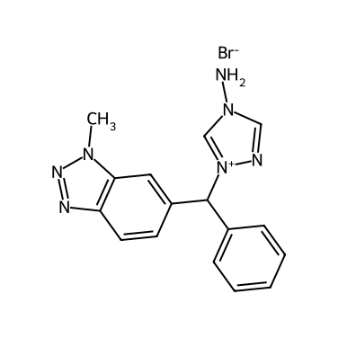 Cn1nnc2ccc(C(c3ccccc3)[n+]3cn(N)cn3)cc21.[Br-]